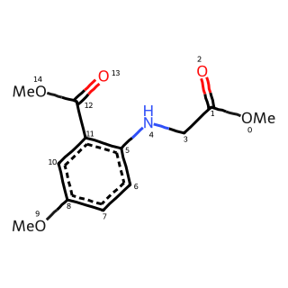 COC(=O)CNc1ccc(OC)cc1C(=O)OC